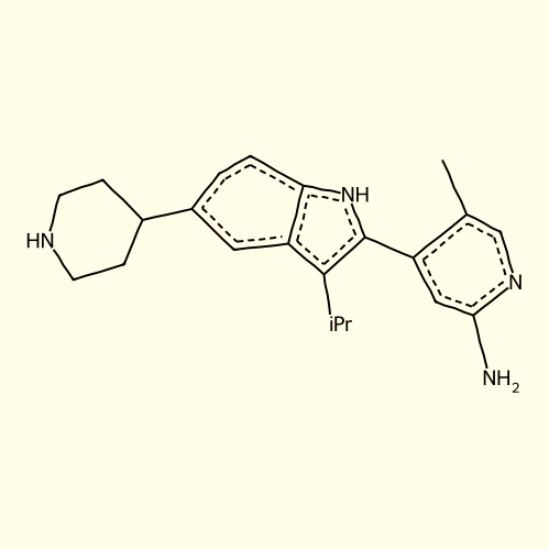 Cc1cnc(N)cc1-c1[nH]c2ccc(C3CCNCC3)cc2c1C(C)C